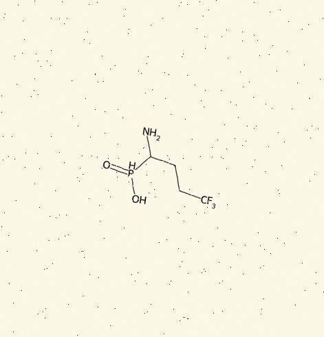 NC(CCC(F)(F)F)[PH](=O)O